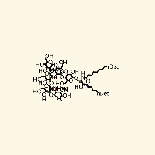 CCCCCCCCCCCCC/C=C/[C@@H](O)[C@H](CO[C@@H]1OC(CO)[C@@H](O[C@@H]2OC(CO)[C@H](O[C@@H]3OC(CO)[C@H](O)[C@H](O)C3NC(C)=O)[C@H](O[C@H]3OC(CO)[C@H](O)[C@H](O[C@@H]4OC(CO)[C@@H](O)[C@H](O[C@H]5OC(C)[C@@H](O)C(O)[C@@H]5O)C4NC(C)=O)C3O)C2O)[C@H](O)C1O)NC(=O)CCCCCCCCCCCCCCCCC